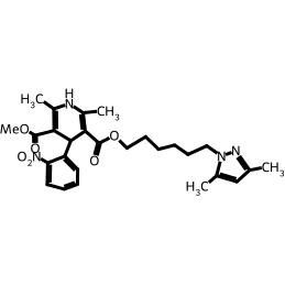 COC(=O)C1=C(C)NC(C)=C(C(=O)OCCCCCCn2nc(C)cc2C)C1c1ccccc1[N+](=O)[O-]